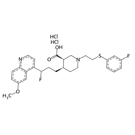 COc1ccc2nccc(C(F)CC[C@@H]3CCN(CCSc4cccc(F)c4)C[C@@H]3C(=O)O)c2c1.Cl.Cl